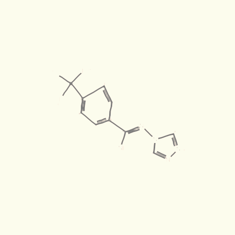 N/C(=N\n1cnnc1)c1ccc(C(F)(F)F)cc1